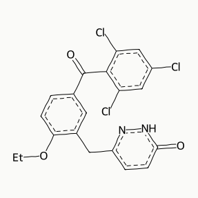 CCOc1ccc(C(=O)c2c(Cl)cc(Cl)cc2Cl)cc1Cc1ccc(=O)[nH]n1